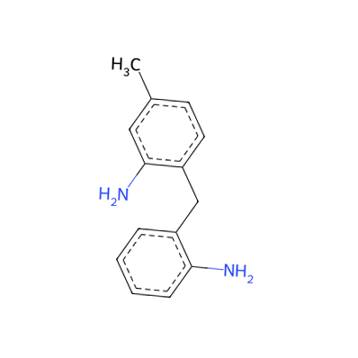 Cc1ccc(Cc2ccccc2N)c(N)c1